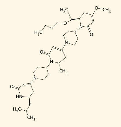 CCCCOC(C)[C@H]1CC(OC)=CC(=O)N1C1CCN(C2=CC(=O)N(C3CCN(C4=CC(=O)N[C@H](CC(C)C)C4)CC3)[C@@H](C)C2)CC1